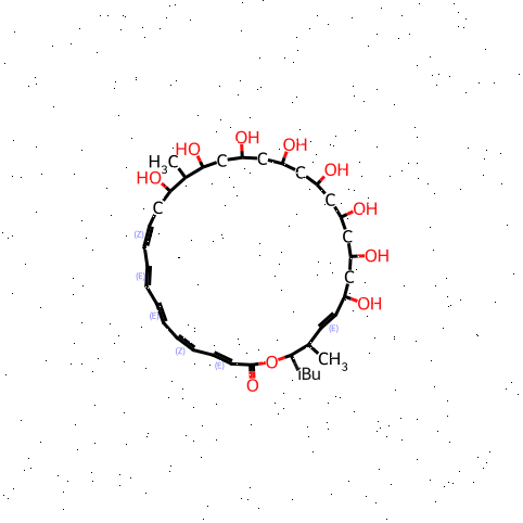 CCC(C)C1OC(=O)/C=C/C=C\C=C\C=C\C=C/CC(O)C(C)C(O)CC(O)CC(O)CC(O)CC(O)CC(O)CC(O)/C=C/C1C